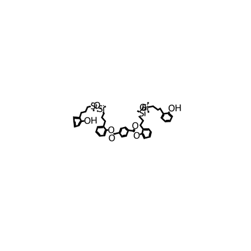 C[Si](C)(CCCc1ccccc1O)O[Si](C)(C)CCCc1ccccc1OC(=O)c1ccc(C(=O)Oc2ccccc2CCC[Si](C)(C)O[Si](C)(C)CCCc2ccccc2O)cc1